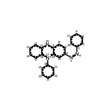 c1ccc(/N=N\c2ccc3nc4ccccc4[n+](-c4ccccc4)c3c2)cc1